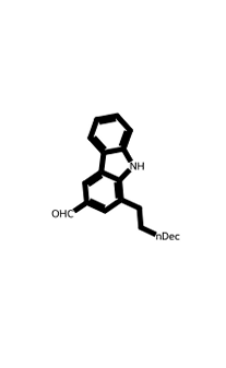 CCCCCCCCCCCCc1cc(C=O)cc2c1[nH]c1ccccc12